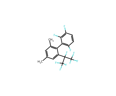 Cc1[c]c(C)c(-c2c(F)ccc(F)c2F)c(C(F)(C(F)(F)F)C(F)(F)F)c1